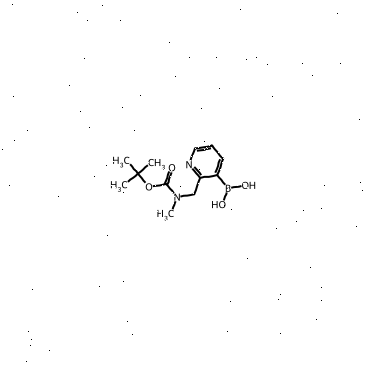 CN(Cc1ncccc1B(O)O)C(=O)OC(C)(C)C